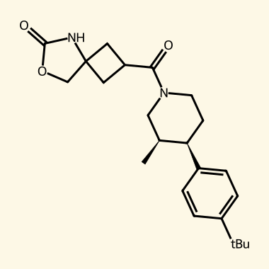 C[C@H]1CN(C(=O)C2CC3(COC(=O)N3)C2)CC[C@H]1c1ccc(C(C)(C)C)cc1